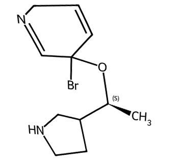 C[C@H](OC1(Br)C=CCN=C1)C1CCNC1